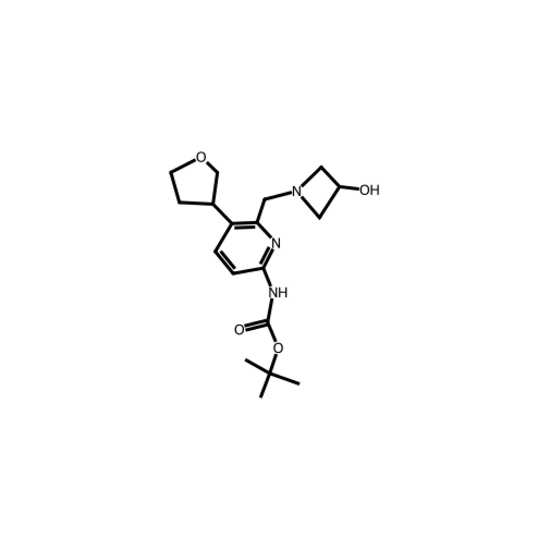 CC(C)(C)OC(=O)Nc1ccc(C2CCOC2)c(CN2CC(O)C2)n1